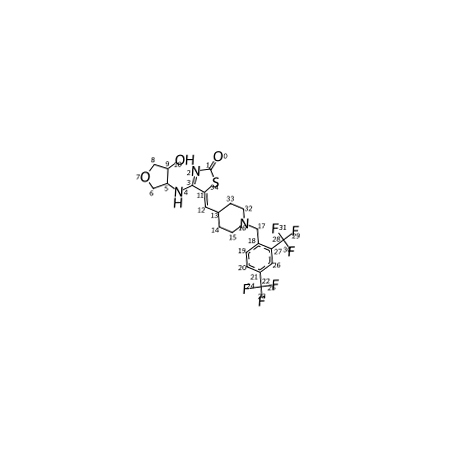 O=C1N=C(NC2COCC2O)C(=CC2CCN(Cc3ccc(C(F)(F)F)cc3C(F)(F)F)CC2)S1